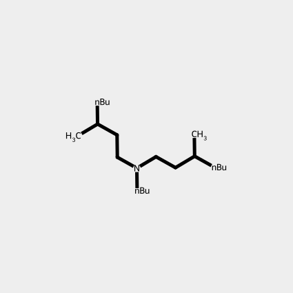 CCCCC(C)CCN(CCCC)CCC(C)CCCC